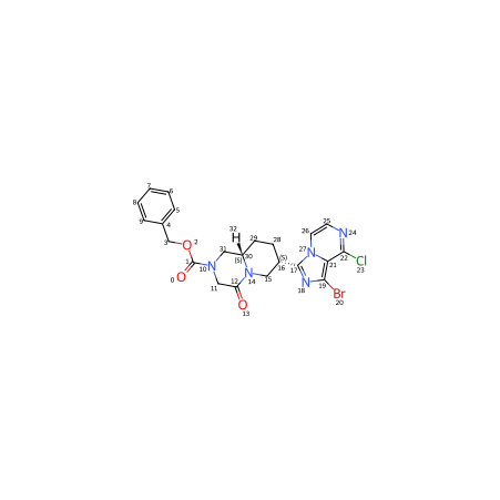 O=C(OCc1ccccc1)N1CC(=O)N2C[C@@H](c3nc(Br)c4c(Cl)nccn34)CC[C@H]2C1